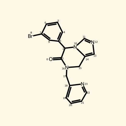 O=C1C(c2cccc(Br)c2)n2cncc2CN1Cc1ccccn1